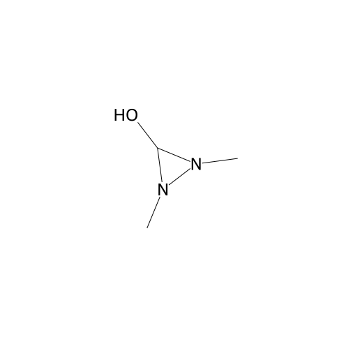 CN1C(O)N1C